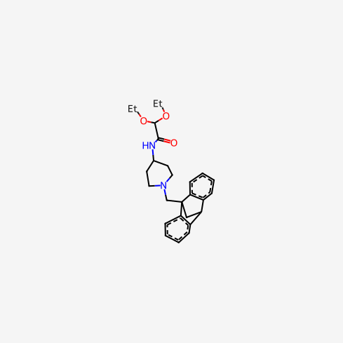 CCOC(OCC)C(=O)NC1CCN(CC23CC(c4ccccc42)c2ccccc23)CC1